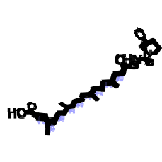 COC1CCCN(C(=O)NOC(=O)/C=C/C(C)=C/C=C/C(C)=C/C=C/C=C(C)/C=C/C=C(C)\C=C\C(=O)O)C1